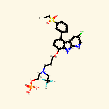 CCS(=O)(=O)c1cccc(-c2ccc(OCCCN(CCOP(=O)(O)O)CC(F)(F)F)c3[nH]c4ncc(Cl)cc4c23)c1